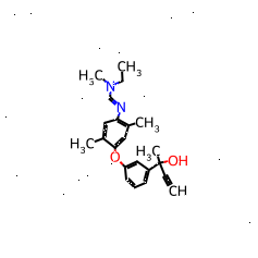 C#CC(C)(O)c1cccc(Oc2cc(C)c(N=CN(C)CC)cc2C)c1